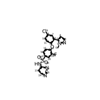 Cn1nccc1-c1cc(Cl)ccc1Oc1ccc(S(=O)(=O)Nc2ccncn2)cc1F